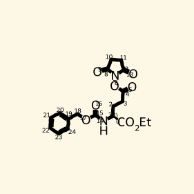 CCOC(=O)[C@H](CCC(=O)ON1C(=O)CCC1=O)NC(=O)OCc1ccccc1